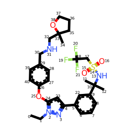 CCn1nc(-c2cccc(C(C)(C)NS(=O)(=O)CC(F)(F)F)c2)cc1Oc1ccc(CNCC2(C)CCCO2)cc1